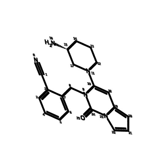 N#Cc1ccccc1Cn1c(N2CCC[C@@H](N)C2)cc2cccn2c1=O